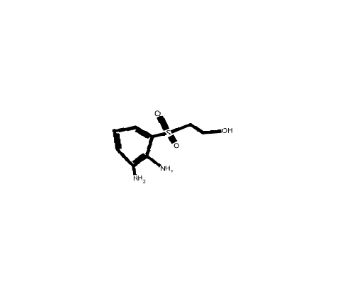 Nc1cccc(S(=O)(=O)CCO)c1N